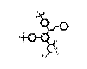 CC(C)CC(C(=O)O)c1cc(-c2ccc(C(F)(F)F)cc2)nc(N(CCN2CCCCC2)c2ccc(C(F)(F)F)cc2)c1